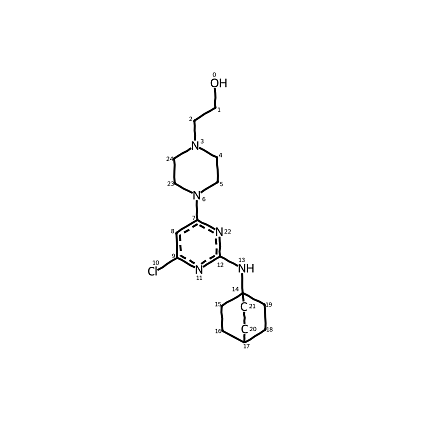 OCCN1CCN(c2cc(Cl)nc(NC34CCC(CC3)CC4)n2)CC1